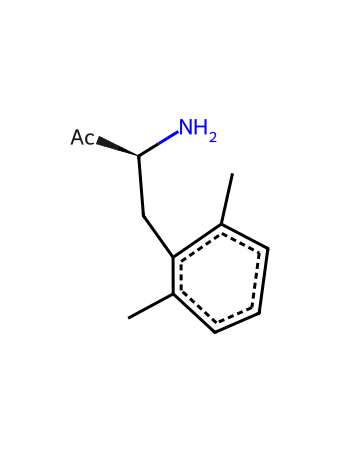 CC(=O)[C@@H](N)Cc1c(C)cccc1C